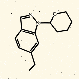 CCc1ccc2cnn(C3CCCCO3)c2c1